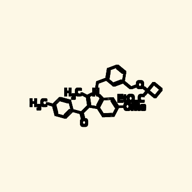 CCOC(=O)C1(OCc2cccc(Cn3c(C)c(C(=O)c4ccc(C)cc4)c4ccc(OC)cc43)c2)CCC1